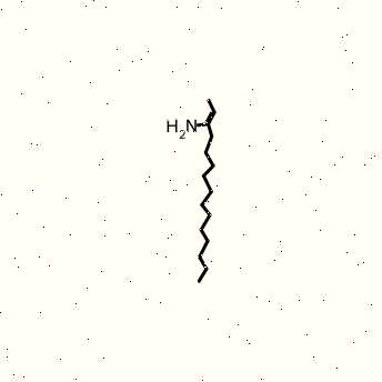 CC=C(N)CCCCCCCCCCCC